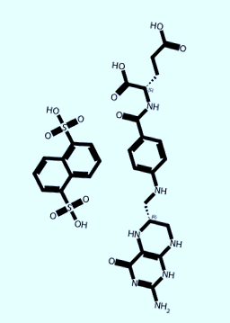 Nc1nc(=O)c2c([nH]1)NC[C@@H](CNc1ccc(C(=O)N[C@@H](CCC(=O)O)C(=O)O)cc1)N2.O=S(=O)(O)c1cccc2c(S(=O)(=O)O)cccc12